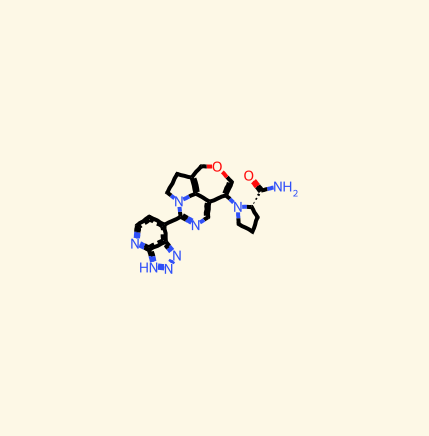 NC(=O)[C@@H]1CCCN1C1=COCC2=C3C1=CN=C(c1ccnc4[nH]nnc14)N3CC2